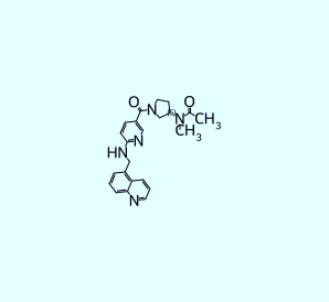 CC(=O)N(C)[C@H]1CCN(C(=O)c2ccc(NCc3cccc4ncccc34)nc2)C1